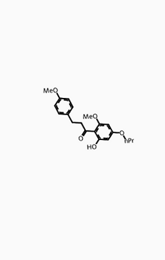 CCCOc1cc(O)c(C(=O)CCc2ccc(OC)cc2)c(OC)c1